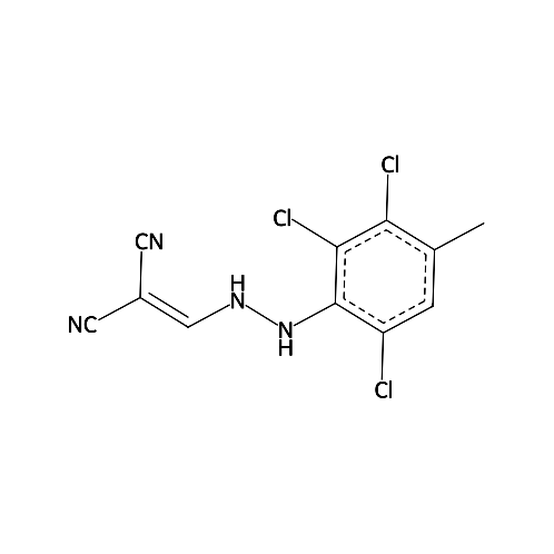 Cc1cc(Cl)c(NNC=C(C#N)C#N)c(Cl)c1Cl